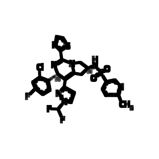 Cc1ccc(S(=O)(=O)N[C@H]2CC3=C(c4ccn(C(F)F)n4)[C@H](c4ccc(F)cc4Cl)N=C(c4nccs4)N3C2)cn1